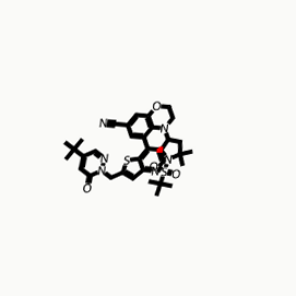 CC(C)(C)c1cnn(Cc2cc3nccc(-c4cc(C#N)cc5c4N(C4CN(S(=O)(=O)C(C)(C)C)C(C)(C)C4)CCO5)c3s2)c(=O)c1